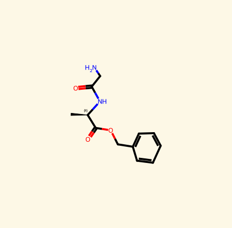 C[C@@H](NC(=O)CN)C(=O)OCc1ccccc1